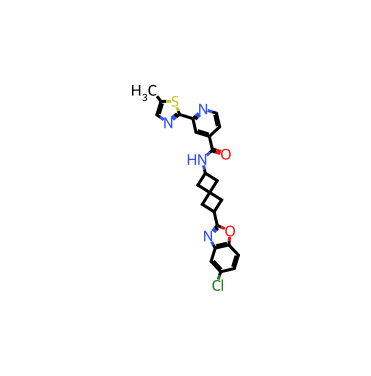 Cc1cnc(-c2cc(C(=O)NC3CC4(C3)CC(c3nc5cc(Cl)ccc5o3)C4)ccn2)s1